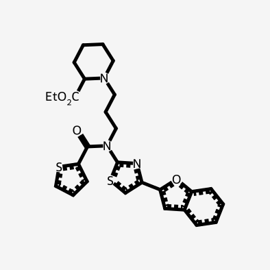 CCOC(=O)C1CCCCN1CCCN(C(=O)c1cccs1)c1nc(-c2cc3ccccc3o2)cs1